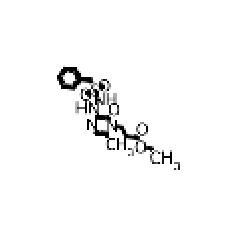 CCOC(=O)CCn1c(C)cnc(NNS(=O)(=O)Cc2ccccc2)c1=O